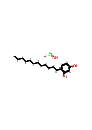 CCCCCCCCCCCCc1ccc(O)cc1O.[O-][Cl+]O